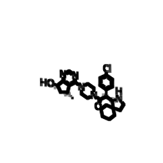 C[C@@H]1C[C@@H](O)c2ncnc(N3CCN(C(=O)[C@@H](c4ccc(Cl)cc4)[C@H]4NCCC45CCCCC5)CC3)c21